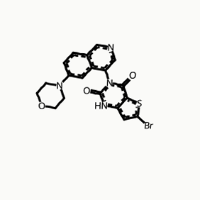 O=c1[nH]c2cc(Br)sc2c(=O)n1-c1cncc2ccc(N3CCOCC3)cc12